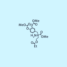 CCC(=O)OCC[C@@](N)(Cc1ccc(OC(=O)OC)c(OC(=O)OC)c1)C(=O)OC